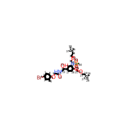 Cc1cc(Br)ccc1OCC(=O)NC[C@@H](O)c1ccc(OCOCC[Si](C)(C)C)c(N(COCC[Si](C)(C)C)S(C)(=O)=O)c1